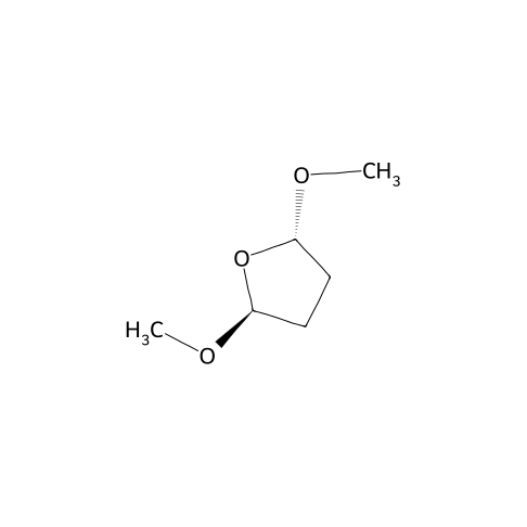 CO[C@@H]1CC[C@@H](OC)O1